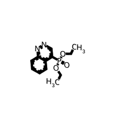 CCOP(=O)(OCC)c1cnnc2ccccc12